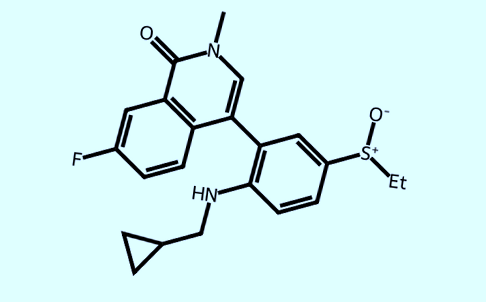 CC[S+]([O-])c1ccc(NCC2CC2)c(-c2cn(C)c(=O)c3cc(F)ccc23)c1